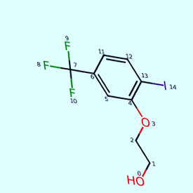 OCCOc1cc(C(F)(F)F)ccc1I